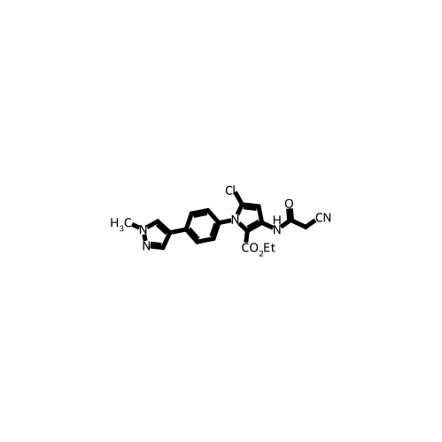 CCOC(=O)c1c(NC(=O)CC#N)cc(Cl)n1-c1ccc(-c2cnn(C)c2)cc1